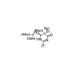 CCCC(C)C1(CC)C(=O)N=C([O-])NC1=O.CCCCCCCCCC(=O)OC.[Na+]